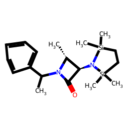 CC(c1ccccc1)N1C(=O)[C@H](N2[Si](C)(C)CC[Si]2(C)C)[C@H]1C